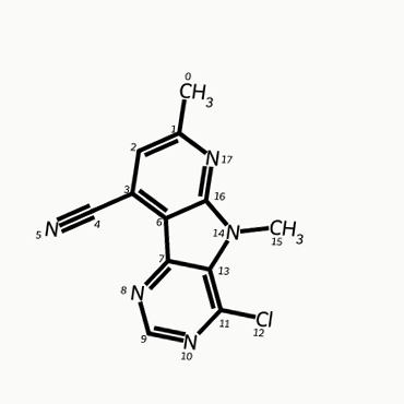 Cc1cc(C#N)c2c3ncnc(Cl)c3n(C)c2n1